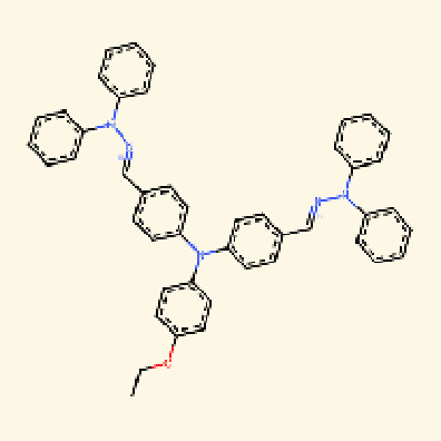 CCOc1ccc(N(c2ccc(/C=N/N(c3ccccc3)c3ccccc3)cc2)c2ccc(/C=N/N(c3ccccc3)c3ccccc3)cc2)cc1